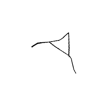 C[C]1CC1C